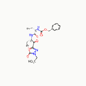 CC(C)C[C@H](NC(=O)OCc1ccccc1)C(=O)N[C@@H](CC(C)C)C(=O)c1nn(CC(=O)O)c(=O)o1